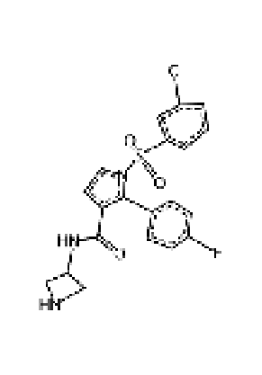 O=C(NC1CNC1)c1ccn(S(=O)(=O)c2cccc(Cl)c2)c1-c1ccc(F)cc1